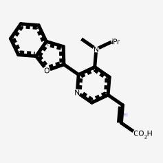 CC(C)N(C)c1cc(/C=C/C(=O)O)cnc1-c1cc2ccccc2o1